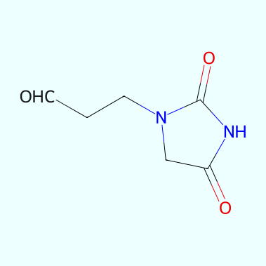 O=CCCN1CC(=O)NC1=O